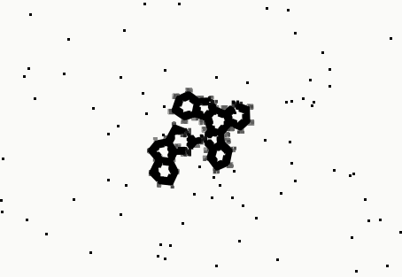 c1ccc2c(c1)ccc1cnc(-n3c4ccccc4c4c5cccnc5c5sc6ccccc6c5c43)nc12